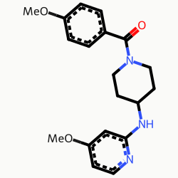 COc1ccc(C(=O)N2CCC(Nc3cc(OC)ccn3)CC2)cc1